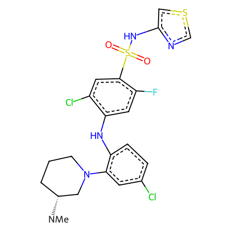 CN[C@@H]1CCCN(c2cc(Cl)ccc2Nc2cc(F)c(S(=O)(=O)Nc3cscn3)cc2Cl)C1